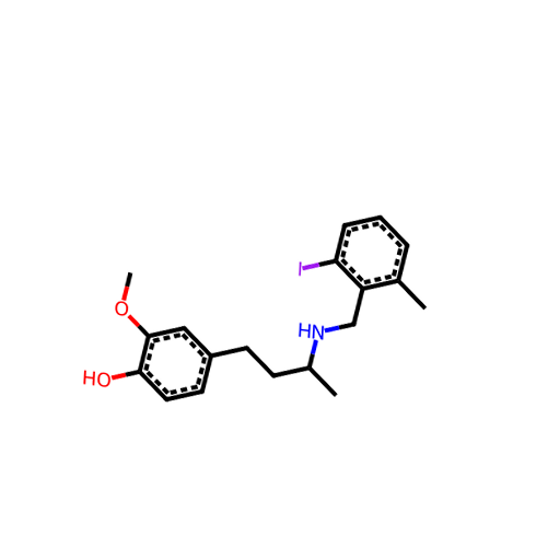 COc1cc(CCC(C)NCc2c(C)cccc2I)ccc1O